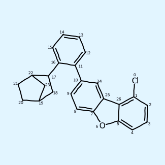 Clc1cccc2oc3ccc(-c4ccccc4C4CC5CCC4C5)cc3c12